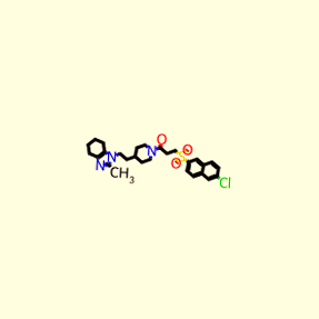 Cc1nc2c(n1CCC1CCN(C(=O)CCS(=O)(=O)c3ccc4cc(Cl)ccc4c3)CC1)CCCC2